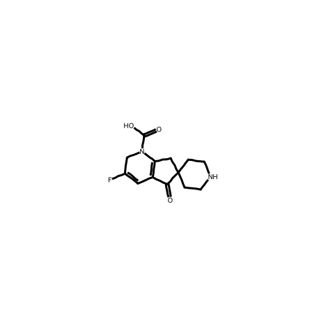 O=C(O)N1CC(F)=CC2=C1CC1(CCNCC1)C2=O